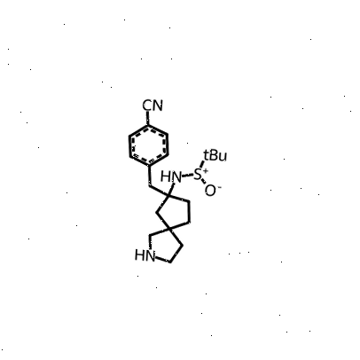 CC(C)(C)[S+]([O-])NC1(Cc2ccc(C#N)cc2)CCC2(CCNC2)C1